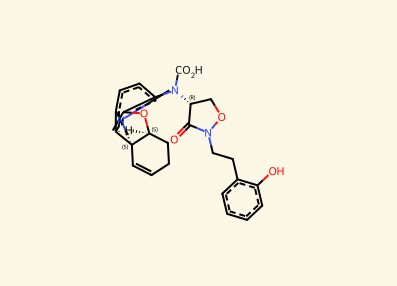 CN1CC[C@@]23C=CCC[C@@H]2Oc2c(N(C(=O)O)[C@@H]4CON(CCc5ccccc5O)C4=O)ccc(c23)C1